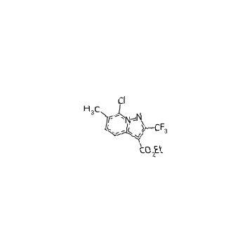 CCOC(=O)c1c(C(F)(F)F)nn2c(Cl)c(C)ccc12